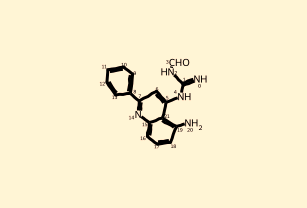 N=C(NC=O)Nc1cc(-c2ccccc2)nc2cccc(N)c12